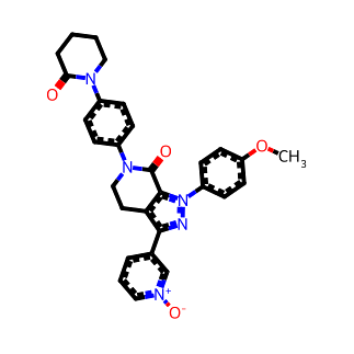 COc1ccc(-n2nc(-c3ccc[n+]([O-])c3)c3c2C(=O)N(c2ccc(N4CCCCC4=O)cc2)CC3)cc1